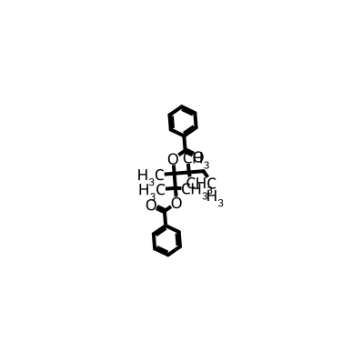 CCC(C)(C)C(C)(OC(=O)c1ccccc1)C(C)(C)OC(=O)c1ccccc1